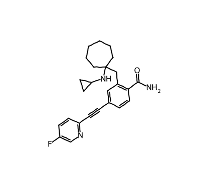 NC(=O)c1ccc(C#Cc2ccc(F)cn2)cc1CC1(NC2CC2)CCCCCC1